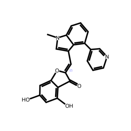 Cn1cc(/C=C2\Oc3cc(O)cc(O)c3C2=O)c2c(-c3cccnc3)cccc21